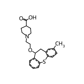 Cc1ccc2c(c1)CC(OCCN1CCC(C(=O)O)CC1)c1ccccc1S2